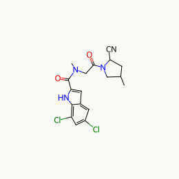 CC1CC(C#N)N(C(=O)CN(C)C(=O)c2cc3cc(Cl)cc(Cl)c3[nH]2)C1